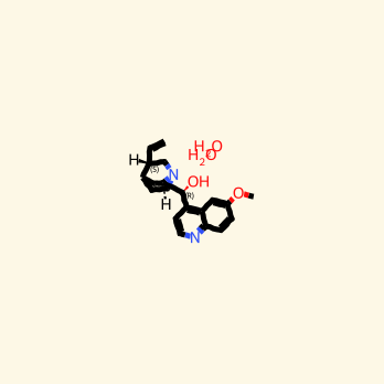 C=C[C@@H]1CN2CCC1C[C@@H]2[C@H](O)c1ccnc2ccc(OC)cc12.O.O